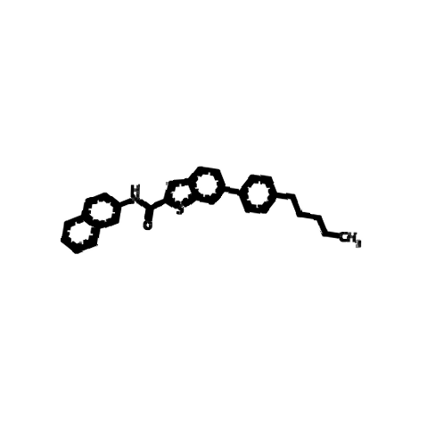 CCCCCc1ccc(-c2ccc3[c]c(C(=O)Nc4ccc5ccccc5c4)sc3c2)cc1